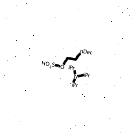 CC(C)N(C(C)C)C(C)C.CCCCCCCCCCCCOS(=O)(=O)O